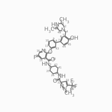 C[C@@H]1CN(Cc2cc(-c3cccc(Oc4ncc(F)cc4C(=O)NC4CCC(NC(=O)c5cc(C(F)(F)F)n(C)n5)CC4)c3)ccc2O)C[C@H](C)N1